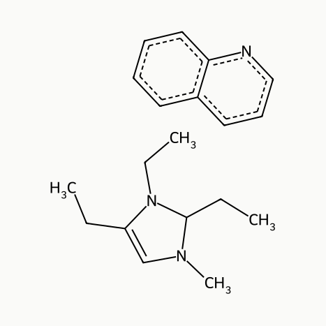 CCC1=CN(C)C(CC)N1CC.c1ccc2ncccc2c1